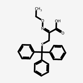 CCON=C(CSC(c1ccccc1)(c1ccccc1)c1ccccc1)C(=O)O